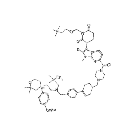 COc1ccc([C@]2(CCN(Cc3ccc(C4=CCC(CN5CCN(C(=O)c6ccc7c(n6)n(C)c(=O)n7C6CCC(=O)N(COCC[Si](C)(C)C)C6=O)CC5)CC4)cc3)CC(C)(C)C(F)(F)F)CCOC(C)(C)C2)cc1